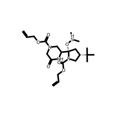 C=CCOC(=O)N1CC(=O)NC([C@@]2(O[SiH](C)C)C[C@H](C(C)(C)C)CN2C(=O)OCC=C)C1